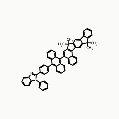 CC1(C)c2ccccc2-c2cc3c(cc21)-c1c(cc(-c2c4ccccc4c(-c4ccc(-c5nc6ccccc6n5-c5ccccc5)cc4)c4ccccc24)c2ccccc12)C3(C)C